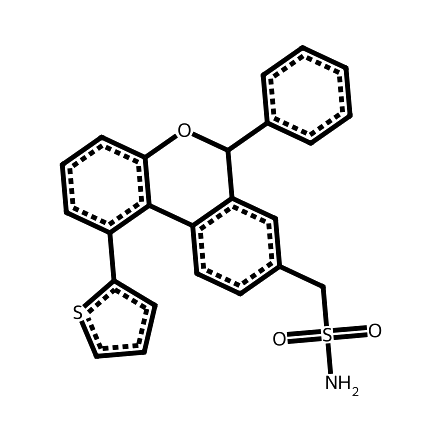 NS(=O)(=O)Cc1ccc2c(c1)C(c1ccccc1)Oc1cccc(-c3cccs3)c1-2